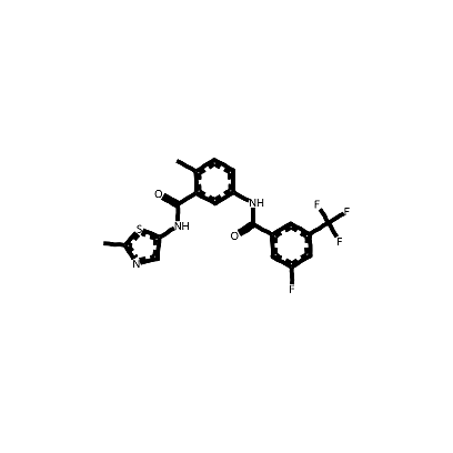 Cc1ncc(NC(=O)c2cc(NC(=O)c3cc(F)cc(C(F)(F)F)c3)ccc2C)s1